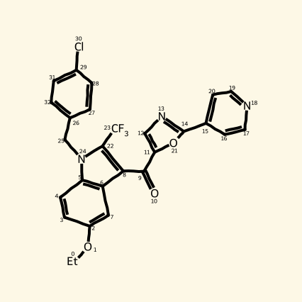 CCOc1ccc2c(c1)c(C(=O)c1cnc(-c3ccncc3)o1)c(C(F)(F)F)n2Cc1ccc(Cl)cc1